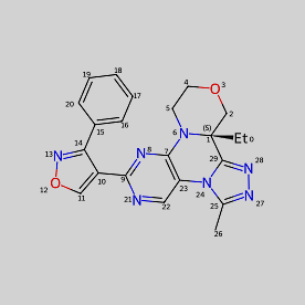 CC[C@]12COCCN1c1nc(-c3conc3-c3ccccc3)ncc1-n1c(C)nnc12